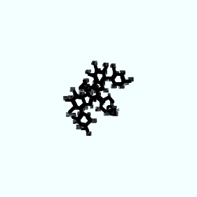 CCCCC1=Cc2c(-c3ccc(C)cc3C)c(C)c(C)c(C)c2[CH]1[Zr+2]1([CH]2C(CCCC)=Cc3c(-c4ccc(C)cc4C)c(C)c(C)c(C)c32)[CH2][CH2]1.[Cl-].[Cl-]